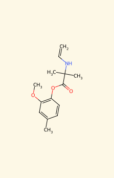 C=CNC(C)(C)C(=O)Oc1ccc(C)cc1OC